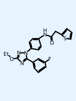 CCOc1nc(-c2cccc(F)c2)n(-c2ccc(NC(=O)Cc3cccs3)cc2)n1